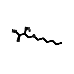 CCCCCCOC[C@H](N)C(=O)O